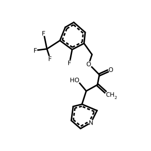 C=C(C(=O)OCc1cccc(C(F)(F)F)c1F)C(O)c1cccnc1